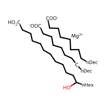 CCCCCCC(O)CCCCCCCCCCC(=O)O.CCCCCCCCCCCCCCCCCC(=O)[O-].CCCCCCCCCCCCCCCCCC(=O)[O-].[Mg+2]